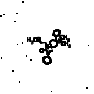 COCCN1C(=O)N(c2ccccc2)C[C@]12CC[C@@](c1ccccc1)(N(C)C)CC2